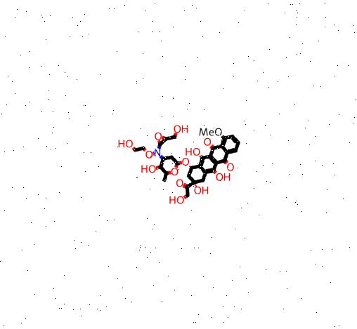 COc1cccc2c1C(=O)c1c(O)c3c(c(O)c1C2=O)C[C@@](O)(C(=O)CO)C[C@@H]3OC1CC(N(OCCO)C2OC2CO)C(O)C(C)O1